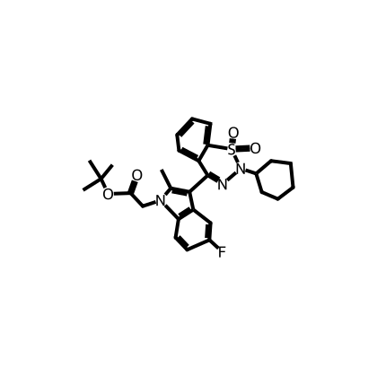 Cc1c(C2=NN(C3CCCCC3)S(=O)(=O)c3ccccc32)c2cc(F)ccc2n1CC(=O)OC(C)(C)C